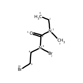 CCN(C)C(=O)N(Br)CCBr